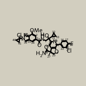 COc1cc(C(=O)NCC(O)(c2cc3c(c(-c4ccc(F)c(Cl)c4)n2)OC[C@]3(C)C(N)=O)C2CC2)cc2cn(C3(Cl)CC3)nc12